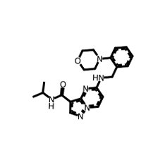 CC(C)NC(=O)c1cnn2ccc(NCc3ccccc3N3CCOCC3)nc12